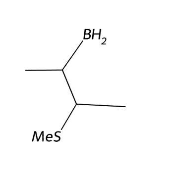 BC(C)C(C)SC